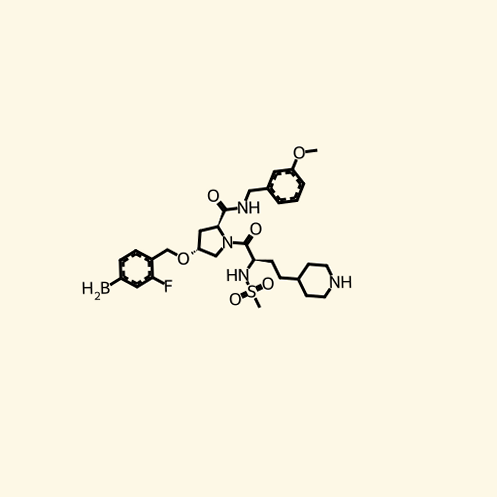 Bc1ccc(CO[C@@H]2C[C@@H](C(=O)NCc3cccc(OC)c3)N(C(=O)[C@@H](CCC3CCNCC3)NS(C)(=O)=O)C2)c(F)c1